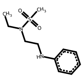 CCN(CCNc1ccccc1)S(C)(=O)=O